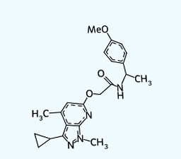 COc1ccc(C(C)NC(=O)COc2cc(C)c3c(C4CC4)nn(C)c3n2)cc1